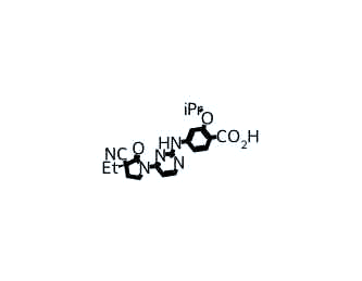 CC[C@]1(C#N)CCN(c2ccnc(Nc3ccc(C(=O)O)c(OC(C)C)c3)n2)C1=O